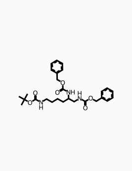 CC(C)(C)OC(=O)NCCCCC(CNC(=O)OCc1ccccc1)NC(=O)OCc1ccccc1